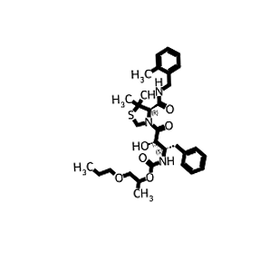 CCCOCC(C)OC(=O)N[C@@H](Cc1ccccc1)[C@H](O)C(=O)N1CSC(C)(C)[C@H]1C(=O)NCc1ccccc1C